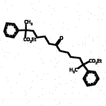 CCOC(=O)C(C)(CCCCC(=O)CCCCC(C)(C(=O)OCC)c1ccccc1)c1ccccc1